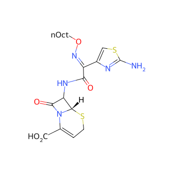 CCCCCCCCON=C(C(=O)NC1C(=O)N2C(C(=O)O)=CCS[C@@H]12)c1csc(N)n1